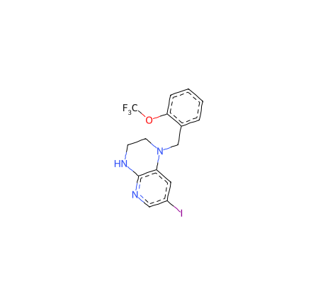 FC(F)(F)Oc1ccccc1CN1CCNc2ncc(I)cc21